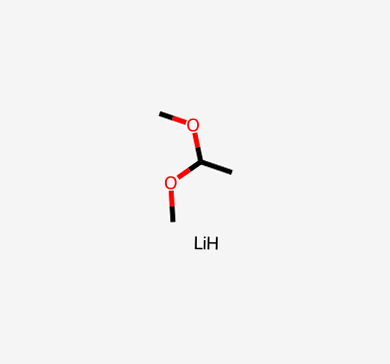 COC(C)OC.[LiH]